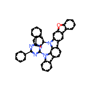 c1ccc(-c2nc(-c3ccccc3)nc(-n3c4ccccc4c4ccc5c6cc7c(cc6n(-c6ccccc6)c5c43)oc3ccccc37)n2)cc1